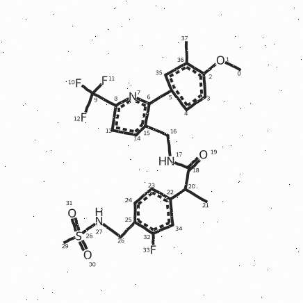 COc1ccc(-c2nc(C(F)(F)F)ccc2CNC(=O)C(C)c2ccc(CNS(C)(=O)=O)c(F)c2)cc1C